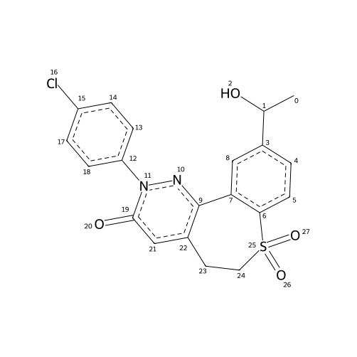 CC(O)c1ccc2c(c1)-c1nn(-c3ccc(Cl)cc3)c(=O)cc1CCS2(=O)=O